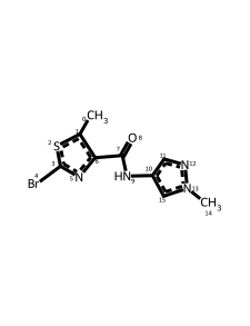 Cc1sc(Br)nc1C(=O)Nc1cnn(C)c1